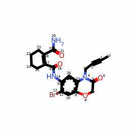 CC#CCN1C(=O)COc2cc(Br)c(NC(=O)C3=C(C(N)=O)CCCC3)cc21